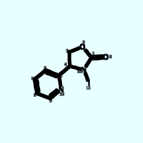 O=C1OCC(c2ccccn2)N1I